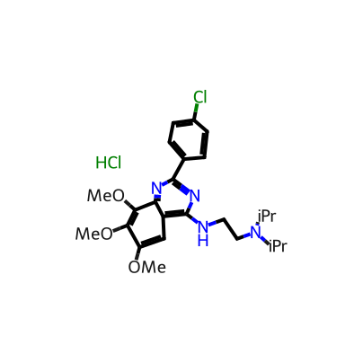 COc1cc2c(NCCN(C(C)C)C(C)C)nc(-c3ccc(Cl)cc3)nc2c(OC)c1OC.Cl